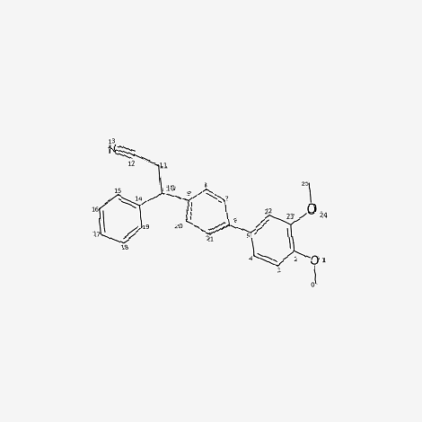 COc1ccc(-c2ccc(C(CC#N)c3ccccc3)cc2)cc1OC